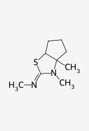 C/N=C1\SC2CCCC2(C)N1C